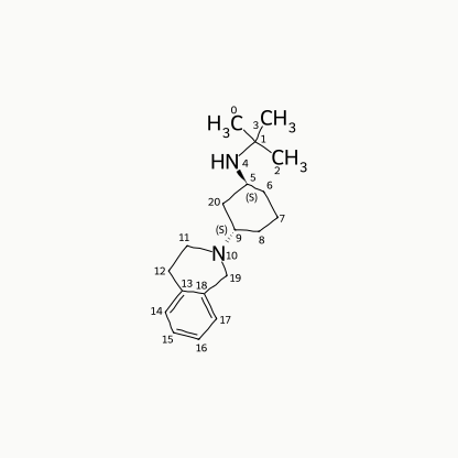 CC(C)(C)N[C@H]1CCC[C@H](N2CCc3ccccc3C2)C1